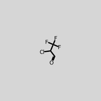 O=CC(Cl)C(F)(F)F